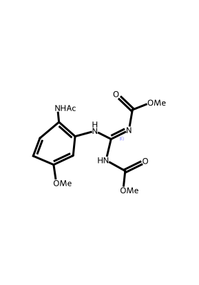 COC(=O)/N=C(/NC(=O)OC)Nc1cc(OC)ccc1NC(C)=O